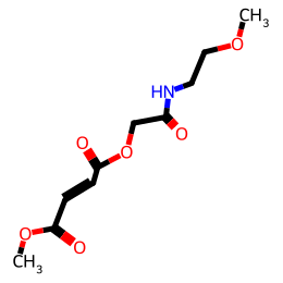 COCCNC(=O)COC(=O)/C=C/C(=O)OC